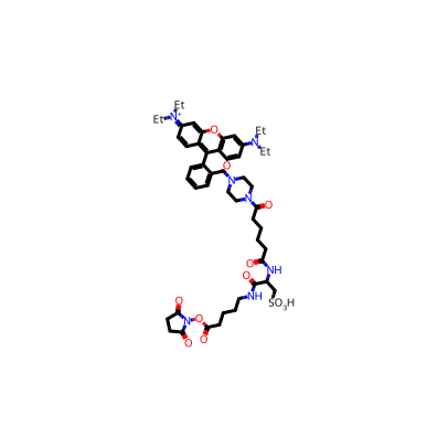 CCN(CC)c1ccc2c(-c3ccccc3C(=O)N3CCN(C(=O)CCCCC(=O)NC(CS(=O)(=O)O)C(=O)NCCCCC(=O)ON4C(=O)CCC4=O)CC3)c3ccc(=[N+](CC)CC)cc-3oc2c1